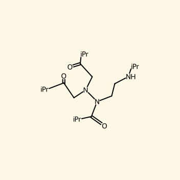 CC(C)NCCN(C(=O)C(C)C)N(CC(=O)C(C)C)CC(=O)C(C)C